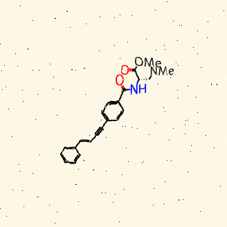 CNC[C@H](NC(=O)c1ccc(C#C/C=C/c2ccccc2)cc1)C(=O)OC